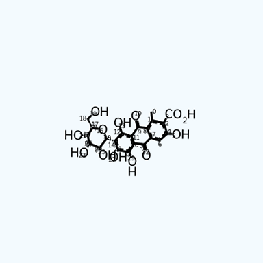 Cc1c(C(=O)O)c(O)cc2c1C(=O)c1c(O)c([C@H]3O[C@H](CO)[C@@H](O)[C@H](O)[C@H]3O)c(O)c(O)c1C2=O